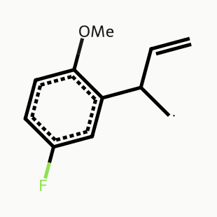 [CH2]C(C=C)c1cc(F)ccc1OC